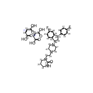 O=C(O)/C=C\C(=O)O.O=C(O)/C=C\C(=O)O.O=C1NCCCN1CCN1CCN([C@H]2C[C@H](c3ccc(F)cc3)c3cc(F)ccc32)CC1